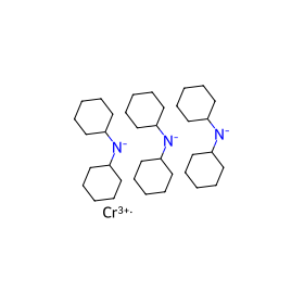 C1CCC([N-]C2CCCCC2)CC1.C1CCC([N-]C2CCCCC2)CC1.C1CCC([N-]C2CCCCC2)CC1.[Cr+3]